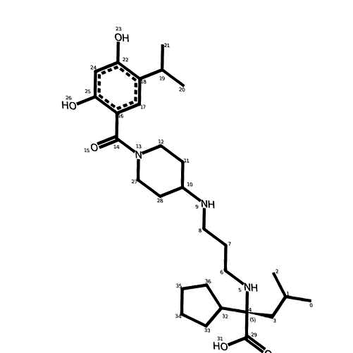 CC(C)C[C@@](NCCCNC1CCN(C(=O)c2cc(C(C)C)c(O)cc2O)CC1)(C(=O)O)C1CCCC1